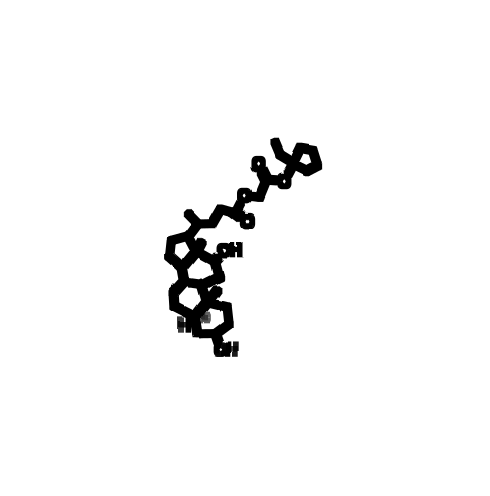 CCC1(OC(=O)COC(=O)CCC(C)C2CCC3C4CC[C@H]5CC(O)CCC5(C)C4CC(O)C23C)CCCC1